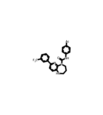 CC(=O)c1ccc(NC(=O)N2CCCNc3ccc(-c4cccc(C(F)(F)F)c4)nc32)cc1